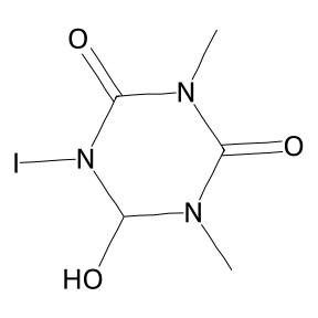 CN1C(=O)N(C)C(O)N(I)C1=O